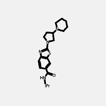 CC(C)NC(=O)c1ccc2nc(N3CCC(N4CCCCC4)C3)sc2c1